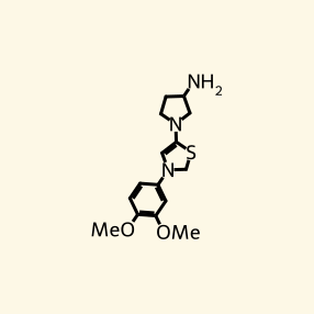 COc1ccc(N2C=C(N3CCC(N)C3)SC2)cc1OC